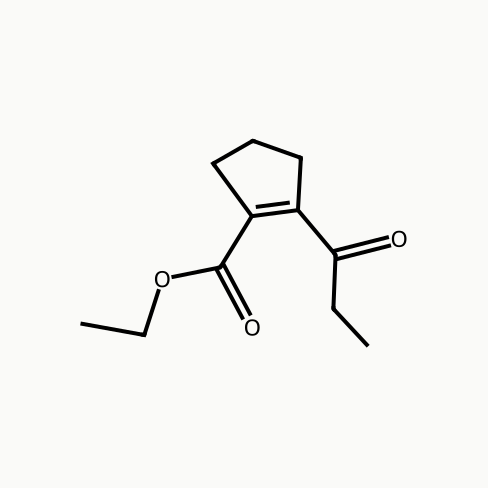 CCOC(=O)C1=C(C(=O)CC)CCC1